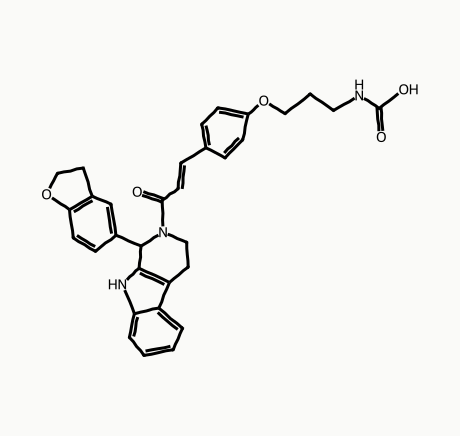 O=C(O)NCCCOc1ccc(C=CC(=O)N2CCc3c([nH]c4ccccc34)C2c2ccc3c(c2)CCO3)cc1